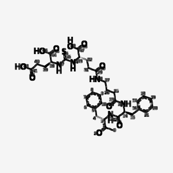 CC(=O)[C@H](Cc1ccccc1)NC(=O)[C@H](Cc1ccccc1)NC(=O)CCCNC(=O)CC[C@H](NC(=S)N[C@@H](CCC(=O)O)C(=O)O)C(=O)O